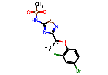 C[C@H](Oc1ccc(Br)cc1F)c1nsc(NS(C)(=O)=O)n1